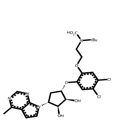 Cc1ncnc2c1ccn2[C@@H]1C[C@H](Oc2cc(Cl)c(Cl)cc2OCCN(C(=O)O)C(C)(C)C)[C@@H](O)[C@H]1O